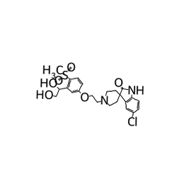 CS(=O)(=O)c1ccc(OCCN2CCC3(CC2)C(=O)Nc2ccc(Cl)cc23)cc1C(O)CO